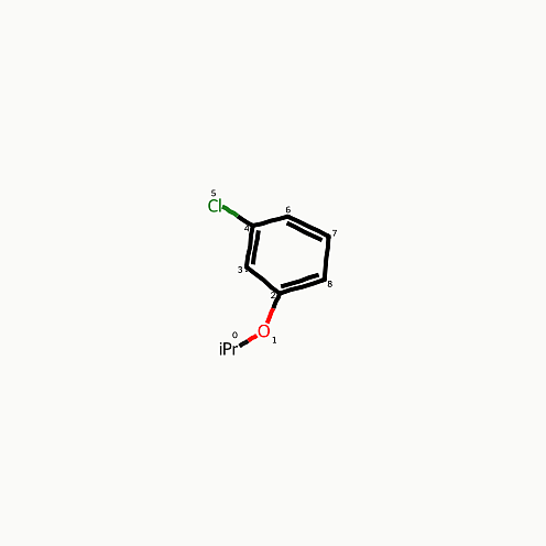 CC(C)Oc1[c]c(Cl)ccc1